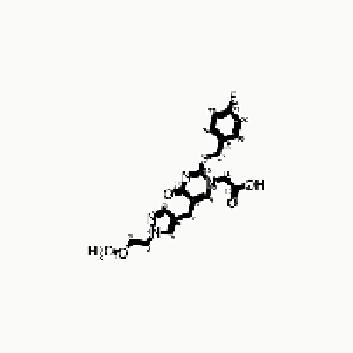 COCCn1cc(Cc2cn(CC(=O)O)c(SCc3ccc(F)cc3)nc2=O)cn1